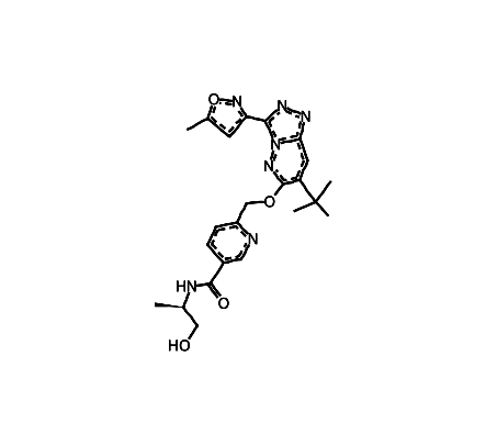 Cc1cc(-c2nnc3cc(C(C)(C)C)c(OCc4ccc(C(=O)N[C@H](C)CO)cn4)nn23)no1